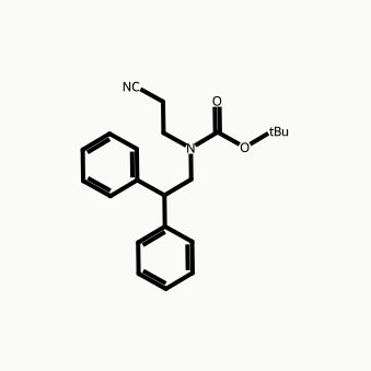 CC(C)(C)OC(=O)N(CCC#N)CC(c1ccccc1)c1ccccc1